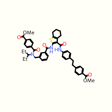 CCC(CC)N(Cc1cccc(C(=O)Nc2sc3c(c2C(=O)Nc2ccc(CCc4ccc(C(=O)OC)cc4)cc2)CCCC3)c1)C(=O)c1ccc(C(=O)OC)cc1